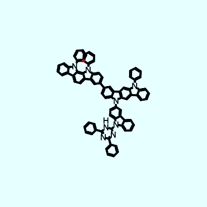 c1ccc(C2=NC(n3c4ccccc4c4cc(-n5c6ccc(-c7ccc8c(c7)c7ccc9c%10ccccc%10n(-c%10ccccc%10)c9c7n8-c7ccccc7)cc6c6cc7c(cc65)c5ccccc5n7-c5ccccc5)ccc43)NC(c3ccccc3)=N2)cc1